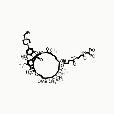 CO[C@H]1/C=C/O[C@@]2(C)Oc3c(C)c(O)c4c(=O)c(c5oc6cc(N7CCN(CC(C)C)CC7)cc(O)c6nc-5c4c3C2=O)NC(=O)/C(C)=C\C=C\[C@H](C)[C@H](OC(=O)CCC(=O)NCCC(=O)NC(P=O)P=O)[C@@H](C)[C@@H](O)[C@@H](C)[C@H](OC(C)=O)[C@@H]1C